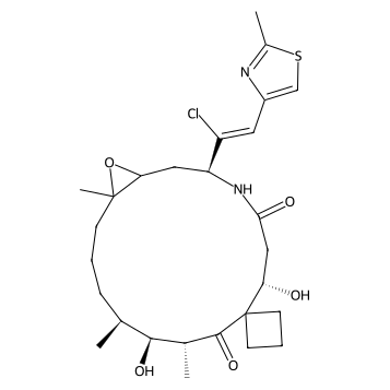 Cc1nc(C=C(Cl)[C@@H]2CC3OC3(C)CCC[C@H](C)[C@H](O)[C@@H](C)C(=O)C3(CCC3)[C@@H](O)CC(=O)N2)cs1